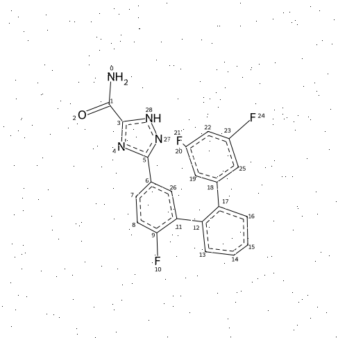 NC(=O)c1nc(-c2ccc(F)c(-c3ccccc3-c3cc(F)cc(F)c3)c2)n[nH]1